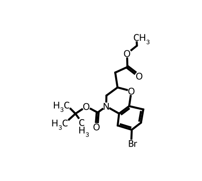 CCOC(=O)CC1CN(C(=O)OC(C)(C)C)c2cc(Br)ccc2O1